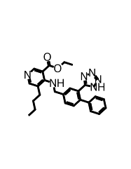 CCCCc1cncc(C(=O)OCC)c1NCc1ccc(-c2ccccc2)c(-c2nnn[nH]2)c1